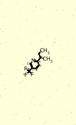 CC[C@@H](C)c1ccc(C(F)(F)F)cn1